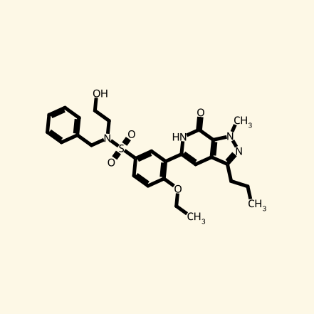 CCCc1nn(C)c2c(=O)[nH]c(-c3cc(S(=O)(=O)N(CCO)Cc4ccccc4)ccc3OCC)cc12